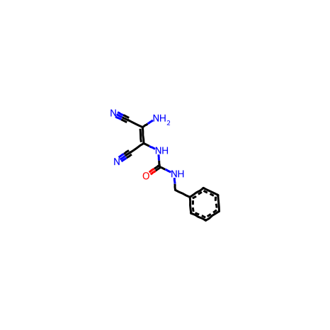 N#C/C(N)=C(\C#N)NC(=O)NCc1ccccc1